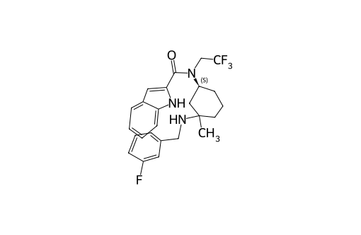 CC1(NCc2cccc(F)c2)CCC[C@H](N(CC(F)(F)F)C(=O)c2cc3ccccc3[nH]2)C1